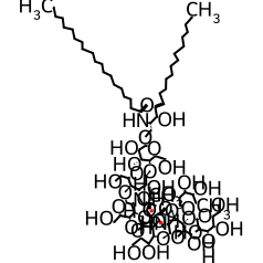 CCCCCCCCCCCCC/C=C/[C@@H](O)[C@H](CO[C@@H]1OC(CO)[C@@H](O[C@@H]2OC(CO)[C@H](O[C@@H]3OC(CO)[C@H](O)[C@H](O[C@@H]4OC(CO)[C@H](O)[C@H](O[C@@H]5OC(CO)[C@@H](O[C@@H]6OC(CO)[C@H](O)[C@H](O)C6O)[C@H](O[C@H]6OC(C)[C@@H](O)C(O)[C@@H]6O)C5NC(C)=O)C4O)C3NC(C)=O)[C@H](O)C2O)[C@H](O)C1O)NC(=O)CCCCCCCCCCCCCCCCCCC